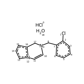 Cl.Clc1ccccc1CN1C=Cn2cccc2C1.O